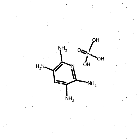 Nc1cc(N)c(N)nc1N.O=P(O)(O)O